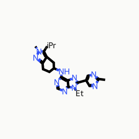 CCn1c(-c2cnc(C)nc2)nc2c(NC3CCc4nn(C)c(C(C)C)c4C3)ncnc21